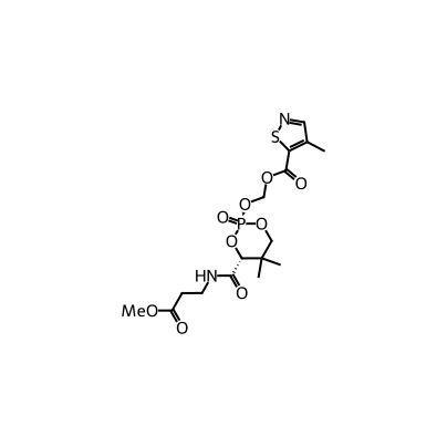 COC(=O)CCNC(=O)[C@@H]1O[P@](=O)(OCOC(=O)c2sncc2C)OCC1(C)C